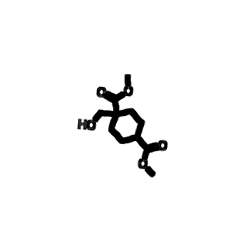 COC(=O)C1CCC(CO)(C(=O)OC)CC1